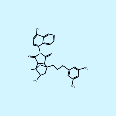 CC12OC(CCOc3cc(C(F)(F)F)cc(C(F)(F)F)c3)(CC1O)C1C(=O)N(c3ccc(C#N)c4ccccc34)C(=O)C12